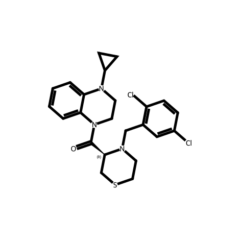 O=C([C@@H]1CSCCN1Cc1cc(Cl)ccc1Cl)N1CCN(C2CC2)c2ccccc21